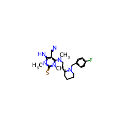 CN(CCC1CCCCN1Cc1ccc(F)cc1)c1c(C#N)c(=N)n(C)c(=S)n1C